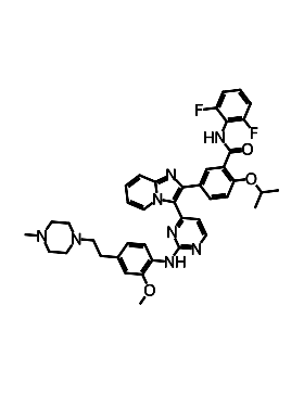 COc1cc(CCN2CCN(C)CC2)ccc1Nc1nccc(-c2c(-c3ccc(OC(C)C)c(C(=O)Nc4c(F)cccc4F)c3)nc3ccccn23)n1